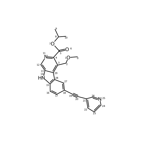 COCc1c(C(=O)OC(C)C)ncc2[nH]c3ccc(C#Cc4cccnc4)cc3c12